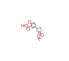 COc1ccc(C2CCN(C(=O)OC(C)(C)C)C2)cc1C(=O)O